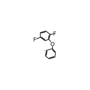 Fc1ccc(F)c(Oc2[c]cccc2)c1